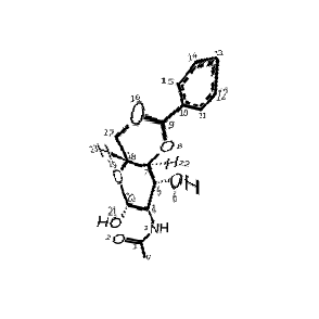 CC(=O)N[C@@H]1[C@@H](O)[C@@H]2OC(c3ccccc3)OC[C@H]2O[C@H]1O